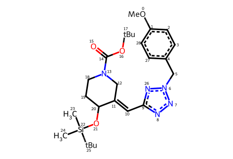 COc1ccc(Cn2nnc(C=C3CN(C(=O)OC(C)(C)C)CCC3O[Si](C)(C)C(C)(C)C)n2)cc1